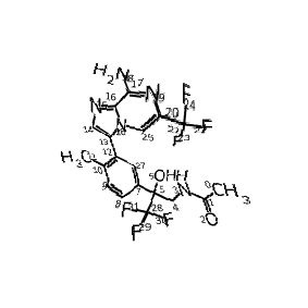 CC(=O)NCC(O)(c1ccc(C)c(-c2cnc3c(N)nc(C(F)(F)F)cn23)c1)C(F)(F)F